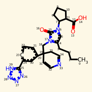 CCCCc1cn(C2CCCC2C(=O)O)c(=O)n1CC1(c2cccc(-c3nnn[nH]3)c2)C=CN=CC1